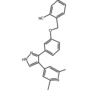 Cc1cc(-c2c[nH]nc2-c2cccc(OCc3ccccc3C#N)c2)cc(C)n1